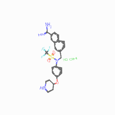 Cl.Cl.N=C(N)c1ccc2ccc(CN(c3ccc(OC4CCNCC4)cc3)S(=O)(=O)C(F)(F)F)cc2c1